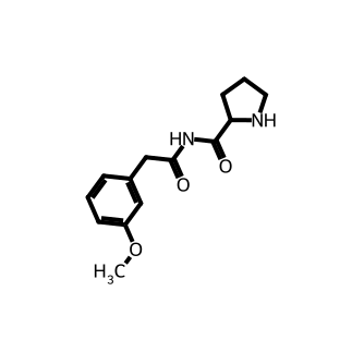 COc1cccc(CC(=O)NC(=O)C2CCCN2)c1